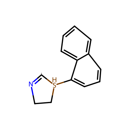 [C]1=NCC[SH]1c1cccc2ccccc12